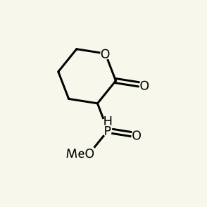 CO[PH](=O)C1CCCOC1=O